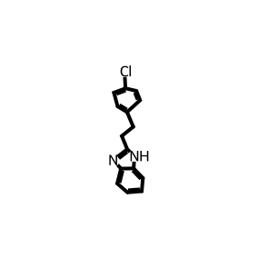 Clc1ccc(CCc2nc3ccccc3[nH]2)cc1